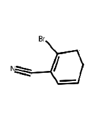 N#CC1=C(Br)[CH]CC=C1